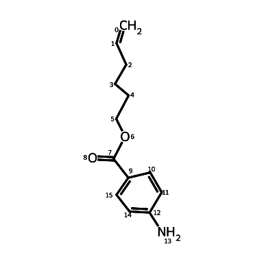 C=CCCCCOC(=O)c1ccc(N)cc1